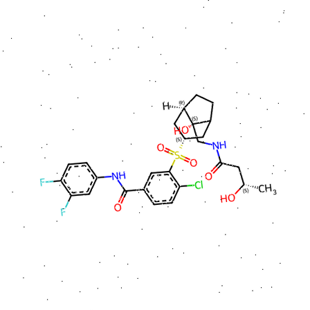 C[C@H](O)CC(=O)NC[C@]1(O)C2CC[C@@H]1C[C@@H](S(=O)(=O)c1cc(C(=O)Nc3ccc(F)c(F)c3)ccc1Cl)C2